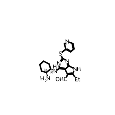 CCc1[nH]c2nc(Sc3cccnc3)nc(N[C@H]3CCCC[C@@H]3N)c2c1C=O